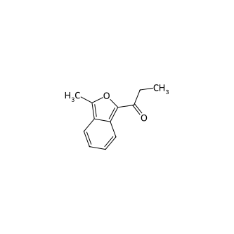 CCC(=O)c1oc(C)c2ccccc12